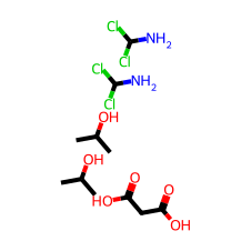 CC(C)O.CC(C)O.NC(Cl)Cl.NC(Cl)Cl.O=C(O)CC(=O)O